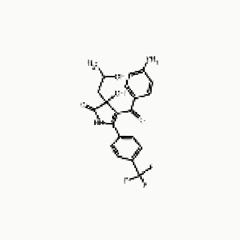 Cc1ccc(C(=O)C2=C(c3ccc(C(F)(F)F)cc3)NC(=O)C2(O)CC(C)O)cc1